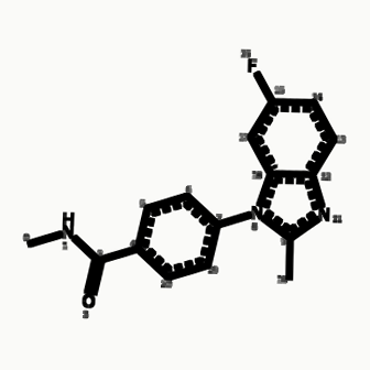 CNC(=O)c1ccc(-n2c(C)nc3ccc(F)cc32)cc1